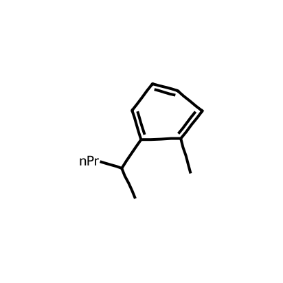 CCCC(C)c1ccccc1C